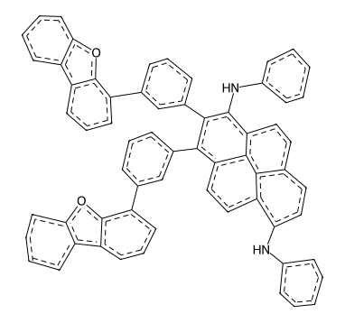 c1ccc(Nc2ccc3ccc4c(Nc5ccccc5)c(-c5cccc(-c6cccc7c6oc6ccccc67)c5)c(-c5cccc(-c6cccc7c6oc6ccccc67)c5)c5ccc2c3c45)cc1